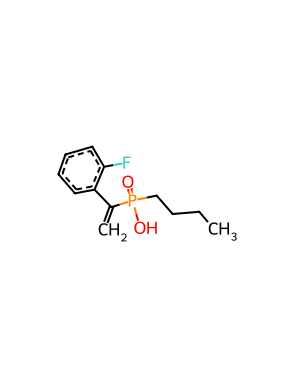 C=C(c1ccccc1F)P(=O)(O)CCCC